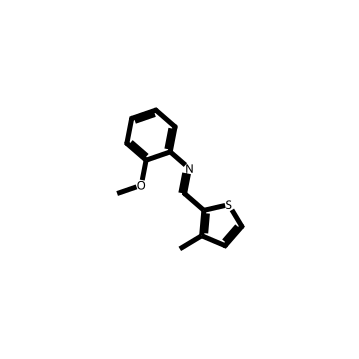 COc1ccccc1N=Cc1sccc1C